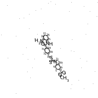 COC(=O)c1ccc2c(c1)CCN2C(=S)SCc1ccc(C(=O)Nc2ccccc2N)cc1